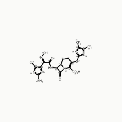 Nc1nc(/C(=N/O)C(=O)NC2C(=O)N3C(C(=O)O)=C(Sc4nc(C(F)(F)F)c(C(F)(F)F)s4)CCC23)c(Cl)s1